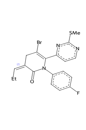 CC/C=C1/CC(Br)=C(c2ccnc(SC)n2)N(c2ccc(F)cc2)C1=O